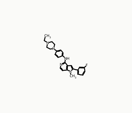 CCN1CCN(c2ccc(Nc3nccc4c3cc(-c3cccc(F)c3)n4C)cc2)CC1